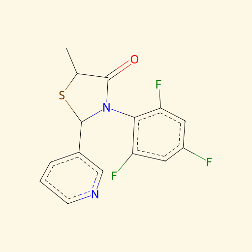 CC1SC(c2cccnc2)N(c2c(F)cc(F)cc2F)C1=O